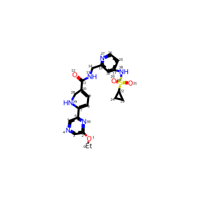 CCOc1cncc(C2=CC=C(C(=O)NCc3cc(NS(=O)(=O)C4CC4)ccn3)CN2)n1